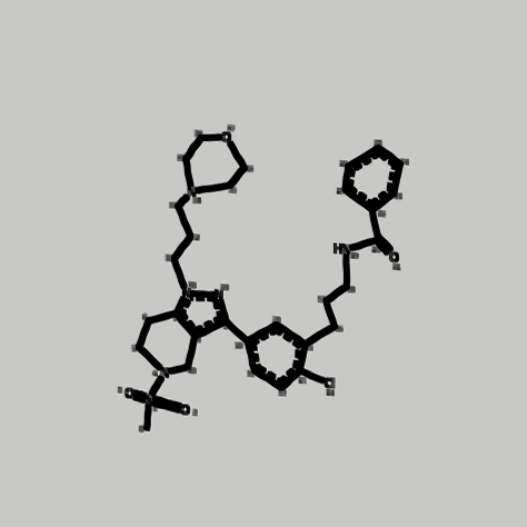 CS(=O)(=O)N1CCc2c(c(-c3ccc(Cl)c(CCCNC(=O)c4ccccc4)c3)nn2CCCN2CCOCC2)C1